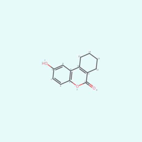 O=c1oc2ccc(O)cc2c2c1CCCC2